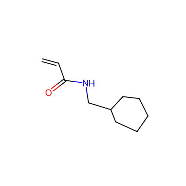 C=CC(=O)NCC1CCCCC1